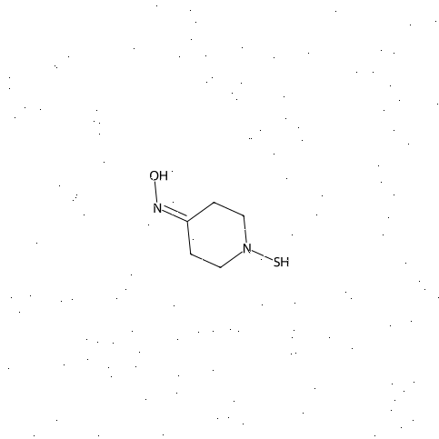 ON=C1CCN(S)CC1